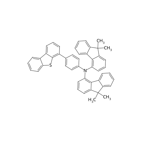 CC1(C)c2ccccc2-c2c(N(c3ccc(-c4cccc5c4sc4ccccc45)cc3)c3cccc4c3-c3ccccc3C4(C)C)cccc21